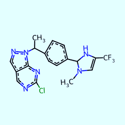 CC(c1ccc(C2NC(C(F)(F)F)=CN2C)cc1)n1ncc2cnc(Cl)nc21